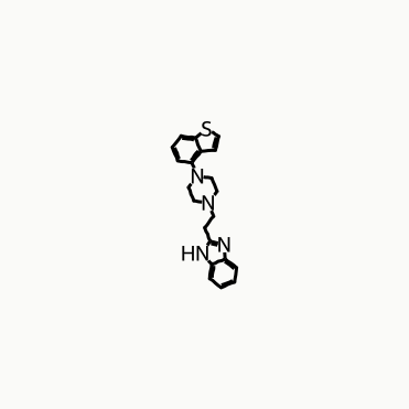 c1ccc2[nH]c(CCN3CCN(c4cccc5sccc45)CC3)nc2c1